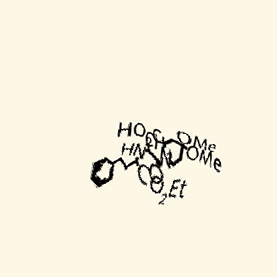 CCOC(=O)C(CCc1ccccc1)N[C@@H](C)C(=O)N1CCC(OC)(OC)C[C@H]1C(=O)O